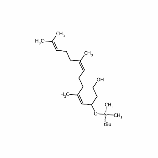 CC(C)=CCCC(C)=CCCC(C)=CC(CCO)O[Si](C)(C)C(C)(C)C